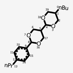 CCCCC1COC(C2COC(c3ccc(CCC)cc3)OC2)OC1